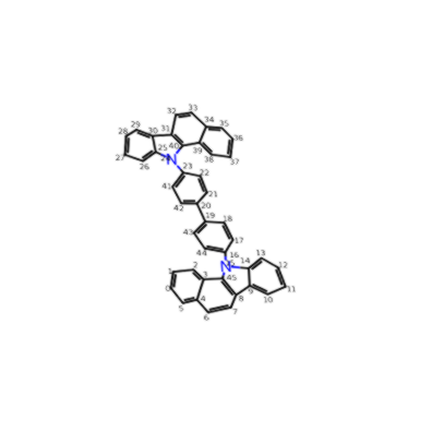 c1ccc2c(c1)ccc1c3ccccc3n(-c3ccc(-c4ccc(-n5c6ccccc6c6ccc7ccccc7c65)cc4)cc3)c21